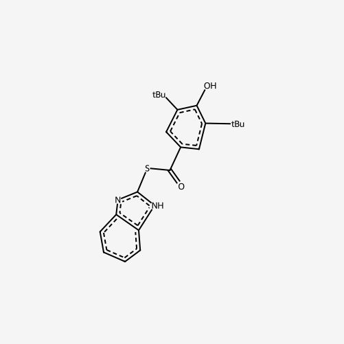 CC(C)(C)c1cc(C(=O)Sc2nc3ccccc3[nH]2)cc(C(C)(C)C)c1O